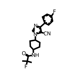 CC(C)(F)C(=O)NC1CCC(n2cnc(-c3ccc(F)cc3)c2C#N)CC1